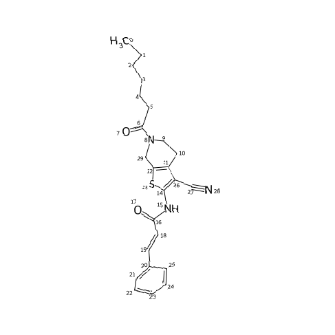 CCCCCCC(=O)N1CCc2c(sc(NC(=O)C=Cc3ccccc3)c2C#N)C1